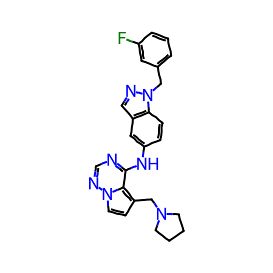 Fc1cccc(Cn2ncc3cc(Nc4ncnn5ccc(CN6CCCC6)c45)ccc32)c1